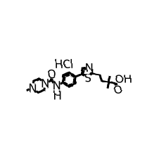 CN1CCN(C(=O)Nc2ccc(-c3cnc(CCC(C)(C)C(=O)O)s3)cc2)CC1.Cl